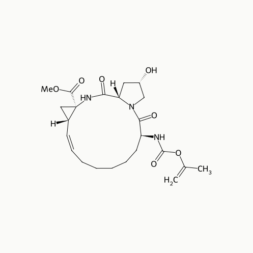 C=C(C)OC(=O)N[C@H]1CCCCC/C=C\[C@@H]2C[C@@]2(C(=O)OC)NC(=O)[C@@H]2C[C@H](O)CN2C1=O